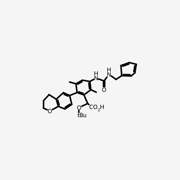 Cc1cc(NC(=O)NCc2ccccc2)c(C)c(C(OC(C)(C)C)C(=O)O)c1-c1ccc2c(c1)CCCO2